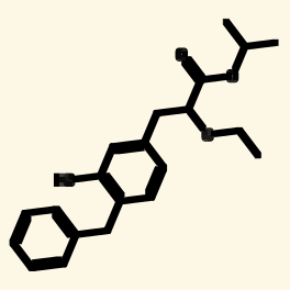 CCOC(Cc1ccc(Cc2ccccc2)c(O)c1)C(=O)OC(C)C